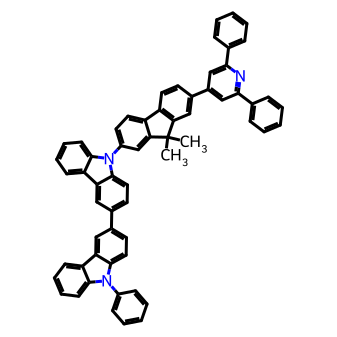 CC1(C)c2cc(-c3cc(-c4ccccc4)nc(-c4ccccc4)c3)ccc2-c2ccc(-n3c4ccccc4c4cc(-c5ccc6c(c5)c5ccccc5n6-c5ccccc5)ccc43)cc21